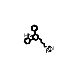 c1ccc(-c2cc(CCCCn3cncn3)cc3c2[nH]c2ccccc23)cc1